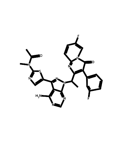 CC(=O)N(C)c1ncc(-c2nn(C(C)c3nc4ccc(F)cn4c(=O)c3-c3cccc(F)c3)c3ncnc(N)c23)s1